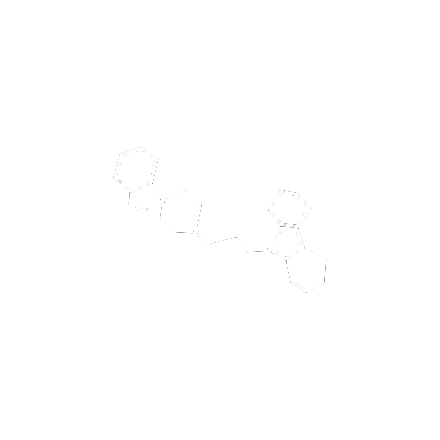 COc1ccccc1N1CCN(CCCn2c3c(c4ccccc42)CCC=C3)CC1